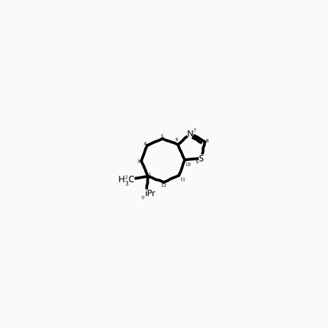 CC(C)C1(C)CCCC2N=CSC2CC1